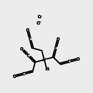 CC[N+](CC=C=O)(C(=C=O)C=C=O)C(=C=O)C=C=O.[Cl-].[Cr]